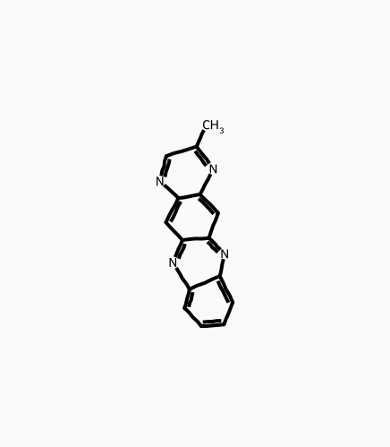 Cc1cnc2cc3nc4ccccc4nc3cc2n1